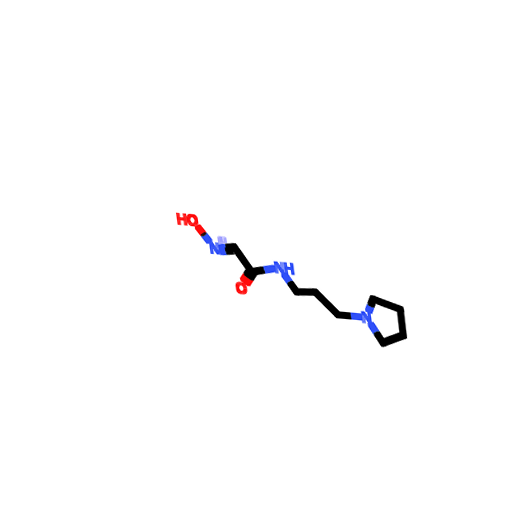 O=C(/C=N/O)NCCCN1CCCC1